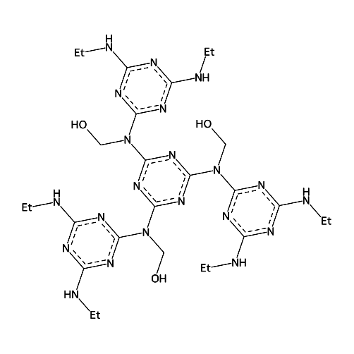 CCNc1nc(NCC)nc(N(CO)c2nc(N(CO)c3nc(NCC)nc(NCC)n3)nc(N(CO)c3nc(NCC)nc(NCC)n3)n2)n1